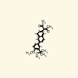 COc1ccc(-c2ccc3cc(C(C(C)=O)C(C)=O)ccc3c2)cc1C(C)(C)C